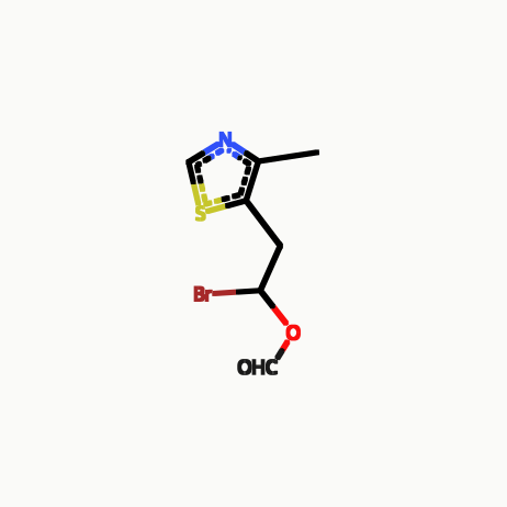 Cc1ncsc1CC(Br)OC=O